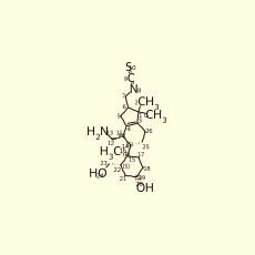 CC1(C)C2=C(CC1CN=C=S)[C@H](CN)[C@@H]([C@@]1(C)CC[C@H](O)C[C@@H]1CO)CC2